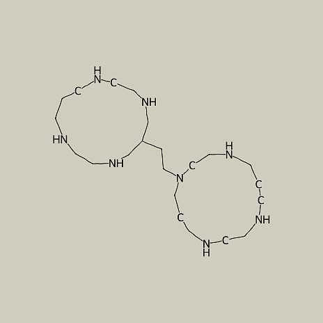 C1CNCCNCC(CCN2CCCNCCNCCCNCC2)CNCCNC1